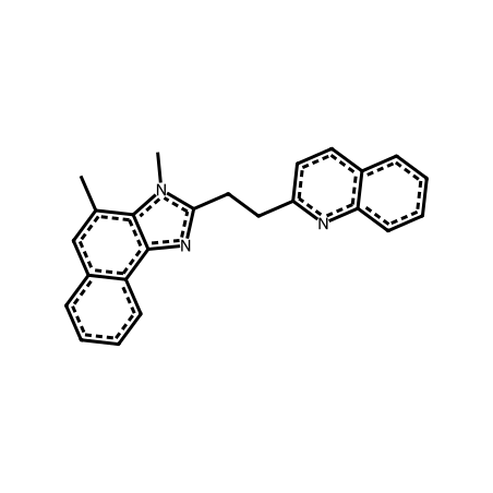 Cc1cc2ccccc2c2nc(CCc3ccc4ccccc4n3)n(C)c12